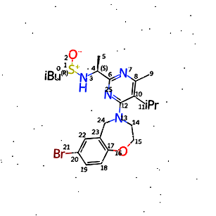 CC[C@@H](C)[S+]([O-])N[C@@H](C)c1nc(C)c(C(C)C)c(N2CCOc3ccc(Br)cc3C2)n1